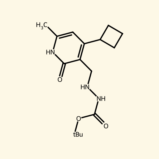 Cc1cc(C2CCC2)c(CNNC(=O)OC(C)(C)C)c(=O)[nH]1